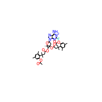 CC(=O)Oc1cc(C)cc(C)c1C(C)(C)CC(=O)OC1[C@@]2(C)O[C@@H](n3cnc4c(N)nc(F)nc43)C[C@@]12OC(=O)CC(C)(C)c1c(C)cc(C)cc1OC(C)=O